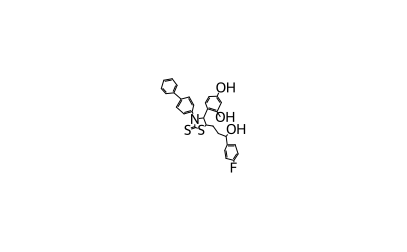 Oc1ccc(C2C(CCC(O)c3ccc(F)cc3)SC(=S)N2c2ccc(-c3ccccc3)cc2)c(O)c1